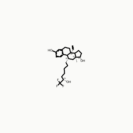 C=C[C@@]12CCc3cc(O)ccc3C1[C@@H](CCCCC[C@H](O)C(F)(F)F)C[C@@]1(C)C2CC[C@@H]1O